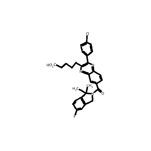 CC1(C)c2ccc(F)cc2CN1C(=O)c1ccc2nc(-c3ccc(Cl)cc3)c(CCCCC(=O)O)nc2c1